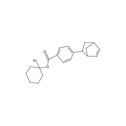 CCC1(OC(=O)c2ccc(C3CC4C=CC3C4)cc2)CCCCC1